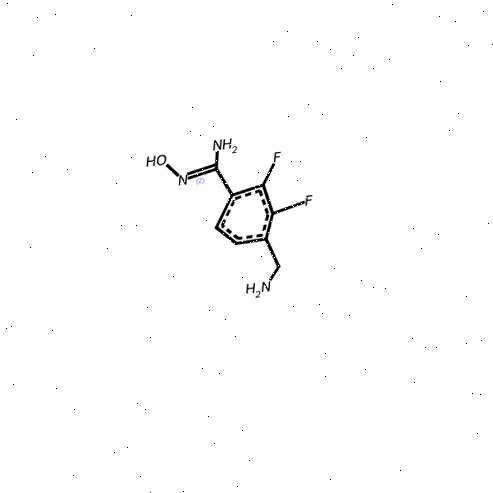 NCc1ccc(/C(N)=N/O)c(F)c1F